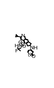 Cn1ccc(NC2Cc3cc4cnc(C5CC5)cc4c(S(=O)(=O)NCC(C)(C)F)c3C2)cc1=O